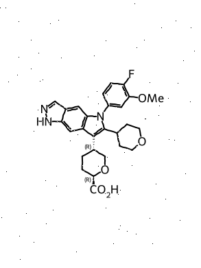 COc1cc(-n2c(C3CCOCC3)c([C@H]3CC[C@H](C(=O)O)OC3)c3cc4[nH]ncc4cc32)ccc1F